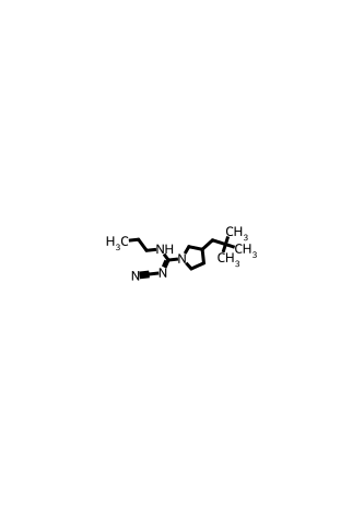 CCCN/C(=N\C#N)N1CCC(CC(C)(C)C)C1